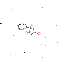 O=C1CC(=O)C2(c3ccccc3)CC12